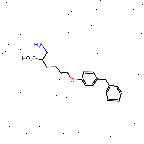 NCC(CCCCOc1ccc(Cc2ccccc2)cc1)C(=O)O